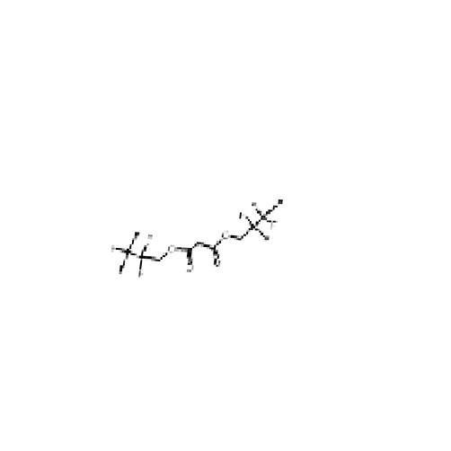 O=C(CC(=O)OCC(F)(F)C(F)(F)F)OCC(F)(F)C(F)(F)F